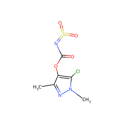 Cc1nn(C)c(Cl)c1OC(=O)N=S(=O)=O